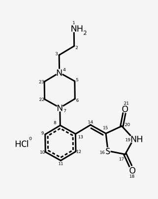 Cl.NCCN1CCN(c2ccccc2/C=C2\SC(=O)NC2=O)CC1